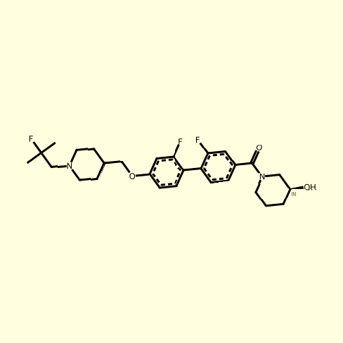 CC(C)(F)CN1CCC(COc2ccc(-c3ccc(C(=O)N4CCC[C@H](O)C4)cc3F)c(F)c2)CC1